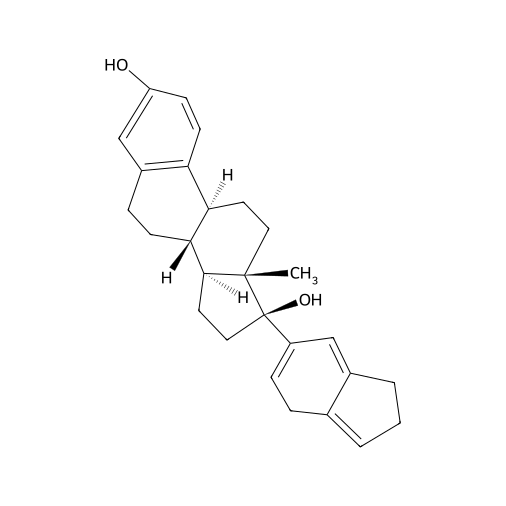 C[C@]12CC[C@@H]3c4ccc(O)cc4CC[C@H]3[C@@H]1CC[C@@]2(O)C1=CCC2=CCCC2=C1